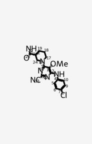 COc1c(Nc2ccc(Cl)cc2)nc(C#N)nc1N1CCCC(C(N)=O)C1